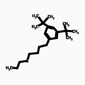 CCCSCCCCc1cc(C(C)(C)C)cc(C(C)(C)C)c1